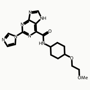 COCCOC1CCC(NC(=O)c2nc(-n3ccnc3)nc3nc[nH]c23)CC1